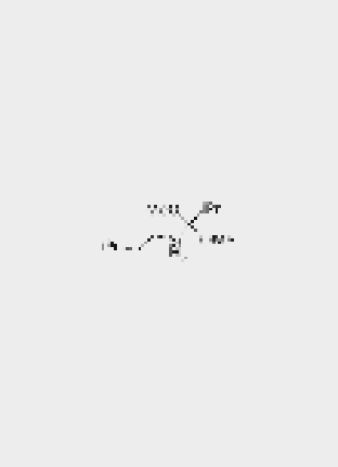 COC(OC)([SiH2]CCC(C)C)C(C)C